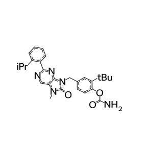 CC(C)c1ccccc1-c1ncc2c(n1)n(Cc1ccc(OC(N)=O)c(C(C)(C)C)c1)c(=O)n2C